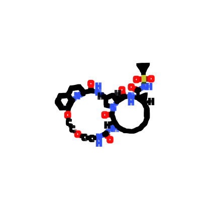 O=C1NCCOCCOc2cccc3ccc(nc23)C(=O)N[C@@H]2C[C@H]3C(=O)N[C@]4(C(=O)NS(=O)(=O)C5CC5)C[C@H]4/C=C\CCCCC[C@H](N1)C(=O)N3C2